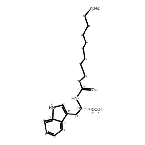 CCCCCCCCCCCCCCCCCCCC(=O)N[C@@H](Cc1c[nH]c2ccccc12)C(=O)O